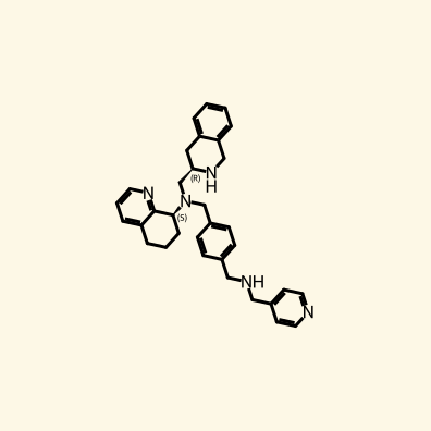 c1ccc2c(c1)CN[C@@H](CN(Cc1ccc(CNCc3ccncc3)cc1)[C@H]1CCCc3cccnc31)C2